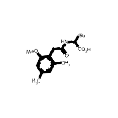 CCC(C)C(NC(=O)Cc1c(C)cc(C)cc1OC)C(=O)O